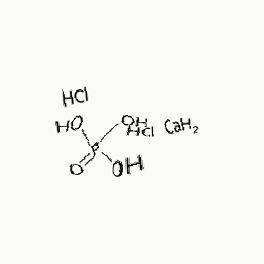 Cl.Cl.O=P(O)(O)O.[CaH2]